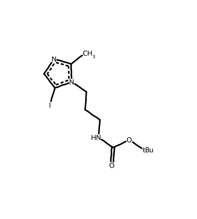 Cc1ncc(I)n1CCCNC(=O)OC(C)(C)C